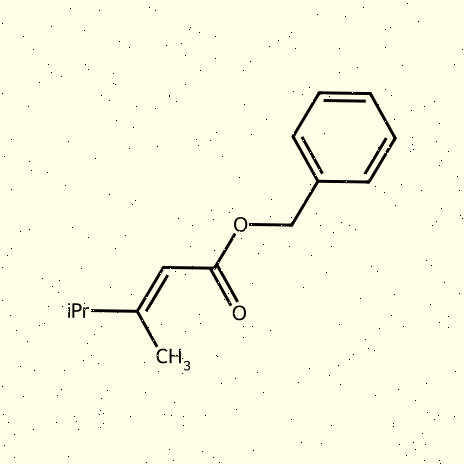 C/C(=C\C(=O)OCc1ccccc1)C(C)C